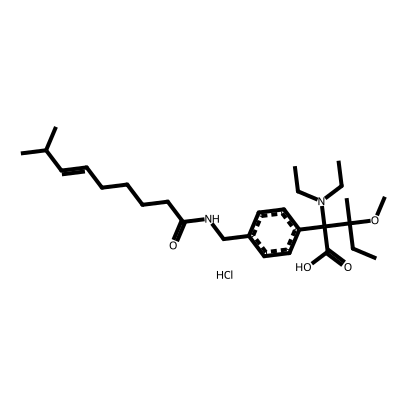 CCN(CC)C(C(=O)O)(c1ccc(CNC(=O)CCCCC=CC(C)C)cc1)C(C)(CC)OC.Cl